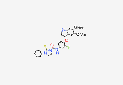 COc1cc2nccc(Oc3ccc(NC(=O)N4CCN(c5ccccc5)C4=S)cc3F)c2cc1OC